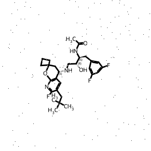 CC(=O)N[C@@H](Cc1cc(F)cc(F)c1)[C@H](O)CN[C@H]1CC2(CCC2)Oc2nc(F)c(CC(C)(C)C)cc21